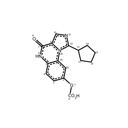 O=C(O)Oc1ccc2[nH]c(=O)c3cnc(C4CCCC4)n3c2c1